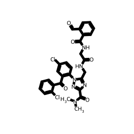 CN(C)C(=O)c1nc(CNC(=O)CNC(=O)c2ccccc2C=O)n(-c2ccc(Cl)cc2C(=O)c2ccccc2Cl)n1